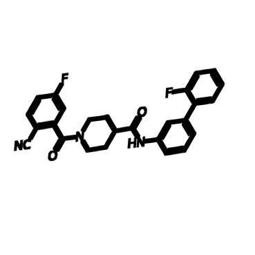 N#Cc1ccc(F)cc1C(=O)N1CCC(C(=O)Nc2cccc(-c3ccccc3F)c2)CC1